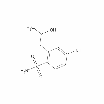 Cc1ccc(S(N)(=O)=O)c(CC(C)O)c1